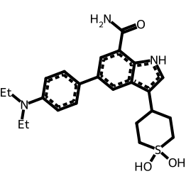 CCN(CC)c1ccc(-c2cc(C(N)=O)c3[nH]cc(C4CCS(O)(O)CC4)c3c2)cc1